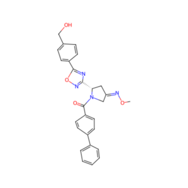 CON=C1C[C@@H](c2noc(-c3ccc(CO)cc3)n2)N(C(=O)c2ccc(-c3ccccc3)cc2)C1